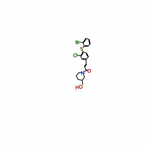 O=C(/C=C/c1ccc(Sc2ccccc2Br)c(Cl)c1)N1CCCC(CO)C1